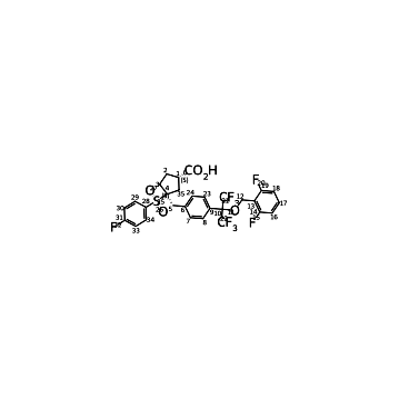 O=C(O)[C@H]1CC[C@](Cc2ccc(C(OCc3c(F)cccc3F)(C(F)(F)F)C(F)(F)F)cc2)(S(=O)(=O)c2ccc(F)cc2)C1